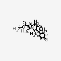 CCOC(=O)c1ncn(CC(C(N)=O)C(C)(C)c2ccc(Cl)cc2)c1C